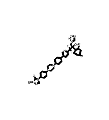 CCn1ncn(-c2ccc(N3CCN(c4ccc(-c5ccc(C(F)(F)C(O)(Cn6cnnn6)c6ccc(F)cc6F)nc5)cc4)CC3)cc2)c1=O